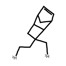 [2H]CCC1(C[2H])CC2C3C=CC(C3)C21